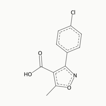 Cc1onc(-c2ccc(Cl)cc2)c1C(=O)O